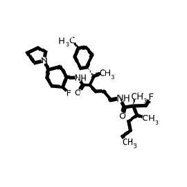 CCCCC(C)[C@](C)(CF)C(=O)NCCCC(C(=O)NC1CC(N2CCCC2)CCC1F)C(C)[C@H]1CC[C@H](C)CC1